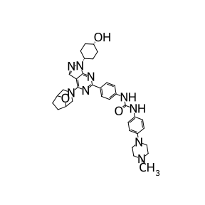 CN1CCN(c2ccc(NC(=O)Nc3ccc(-c4nc(N5CC6CCC(C5)O6)c5cnn([C@H]6CC[C@@H](O)CC6)c5n4)cc3)cc2)CC1